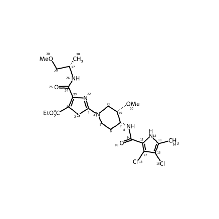 CCOC(=O)c1sc(N2CC[C@@H](NC(=O)c3[nH]c(C)c(Cl)c3Cl)[C@@H](OC)C2)nc1C(=O)N[C@@H](C)COC